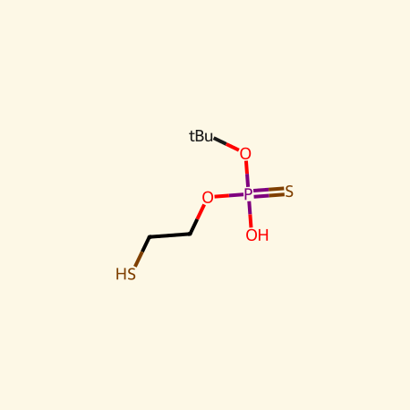 CC(C)(C)OP(O)(=S)OCCS